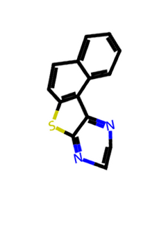 c1ccc2c(c1)ccc1sc3nccnc3c12